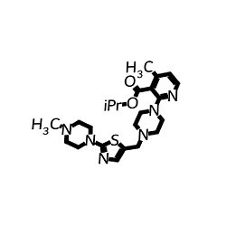 Cc1ccnc(N2CCN(Cc3cnc(N4CCN(C)CC4)s3)CC2)c1C(=O)OC(C)C